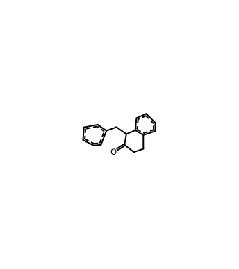 O=C1CCc2ccccc2C1Cc1ccccc1